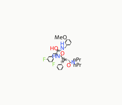 CCCN(CCC)C(=O)C[C@H]1[C@H](C(=O)N[C@@H](Cc2cc(F)cc(F)c2)[C@H](O)CNCc2cccc(OC)c2)[C@H]1c1ccccc1